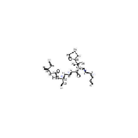 C=C/C=C\C=C\N(C(=O)/C=C/C=C(\C=C)NC(=O)CC(=C)C=C)C(C)(C)C1CCCO1